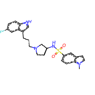 Cn1ccc2cc(S(=O)(=O)NC3CCN(CCCc4c[nH]c5ccc(F)cc45)C3)ccc21